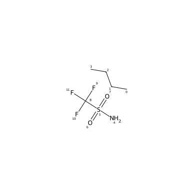 CCCC.NS(=O)(=O)C(F)(F)F